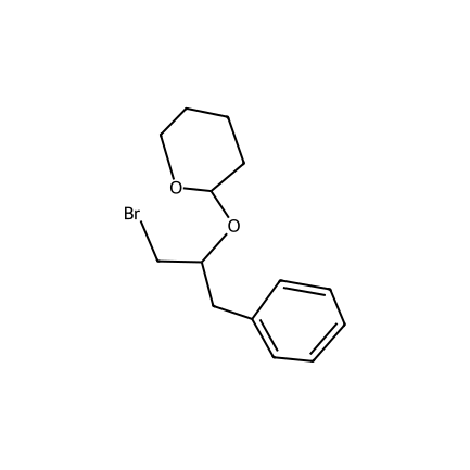 BrCC(Cc1ccccc1)OC1CCCCO1